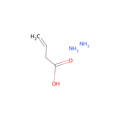 C=CCC(=O)O.N.N